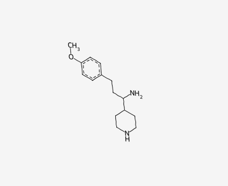 COc1ccc(CCC(N)C2CCNCC2)cc1